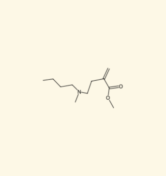 C=C(CCN(C)CCCC)C(=O)OC